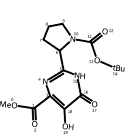 COC(=O)c1nc(C2CCCN2C(=O)OC(C)(C)C)[nH]c(=O)c1O